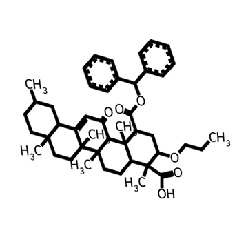 CCCOC1CC(C(=O)OC(c2ccccc2)c2ccccc2)C2(C)C(CCC3(C)C2C(=O)C=C2C4CC(C)CCC4(C)CCC23C)C1(C)C(=O)O